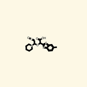 Cc1ccc2nc(C(OC(C=C=O)N3CCCCC3)C(=O)O)sc2c1